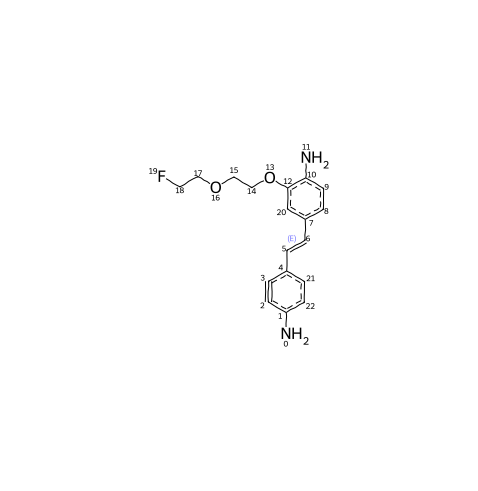 Nc1c#cc(/C=C/c2ccc(N)c(OCCOCCF)c2)cc1